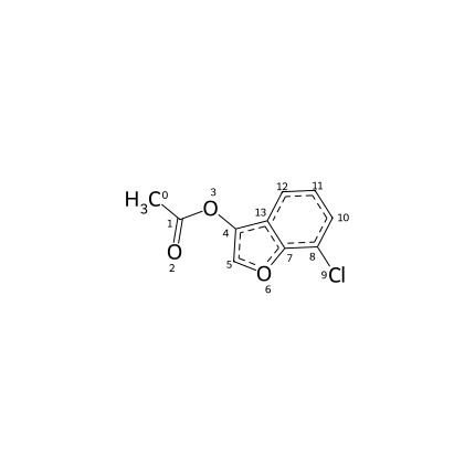 CC(=O)Oc1coc2c(Cl)cccc12